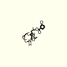 CCn1nc(C[C@@H](C)COC(=O)c2cccc(OC)c2)c2c1C(=O)NCCCOCCC2